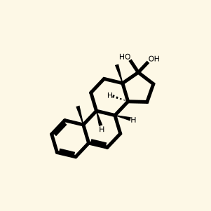 C[C@]12C=CC=CC1=CC[C@@H]1[C@H]2CC[C@@]2(C)[C@H]1CCC2(O)O